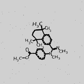 CN=C(c1ccc2c(c1)C(C)(C)CCC2(C)C)N(C)c1ccc(C(=O)OC)cc1